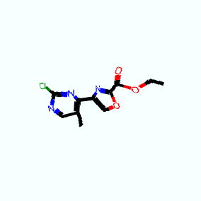 CCOC(=O)c1nc(-c2nc(Cl)ncc2C)co1